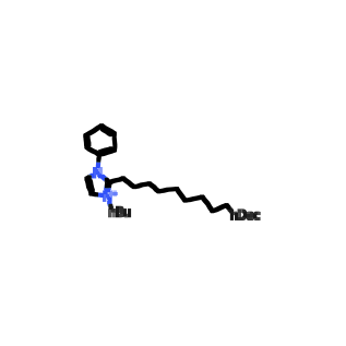 CCCCCCCCCCCCCCCCCCCc1n(-c2ccccc2)cc[n+]1CCCC